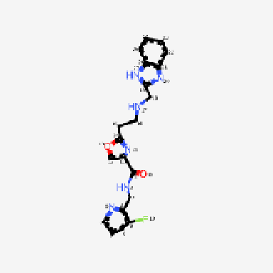 O=C(NCc1ncccc1F)c1coc(CCNCc2nc3ccccc3[nH]2)n1